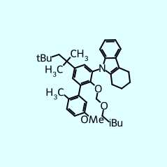 CCC(C)COCOc1c(-c2cc(OC)ccc2C)cc(C(C)(C)CC(C)(C)C)cc1-n1c2c(c3ccccc31)CCCC2